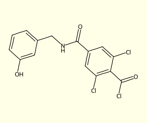 O=C(NCc1cccc(O)c1)c1cc(Cl)c(C(=O)Cl)c(Cl)c1